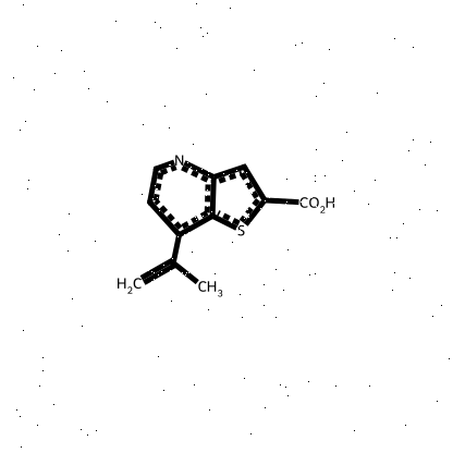 C=C(C)c1ccnc2cc(C(=O)O)sc12